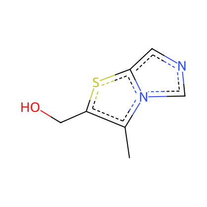 Cc1c(CO)sc2cncn12